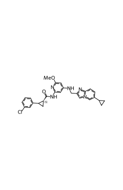 COc1cc(NCc2cn3cc(C4CC4)ccc3n2)cc(NC(=O)[C@H]2CC2c2cccc(Cl)c2)n1